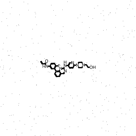 C=CC(=O)Nc1ccc(F)c(-c2cccc3cnc(Nc4ccc(N5CCN(CCO)CC5)nc4)nc23)c1